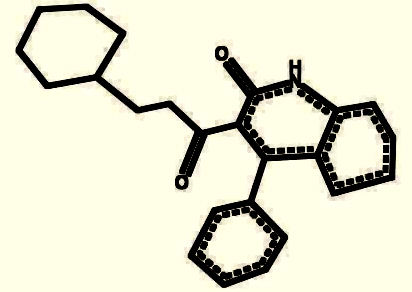 O=C(CCC1CCCCC1)c1c(-c2ccccc2)c2ccccc2[nH]c1=O